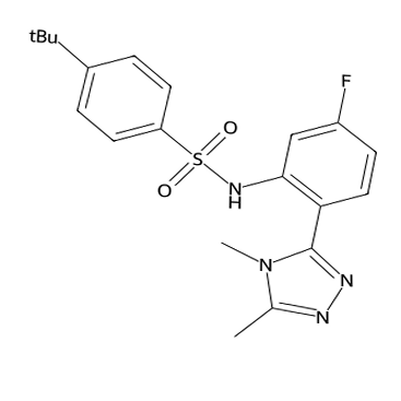 Cc1nnc(-c2ccc(F)cc2NS(=O)(=O)c2ccc(C(C)(C)C)cc2)n1C